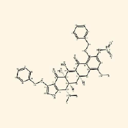 COc1cc(N[SH](=O)=O)c(OCc2ccccc2)c2c1C[C@H]1C[C@H]3[C@H](N(C)C)c4onc(OCc5ccccc5)c4C(=O)[C@@]3(O)C(O)=C1C2=O